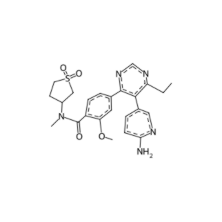 CCc1ncnc(-c2ccc(C(=O)N(C)C3CCS(=O)(=O)C3)c(OC)c2)c1-c1ccc(N)nc1